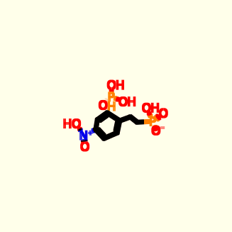 O=[N+](O)c1ccc(CCP(=O)([O-])O)cc1.O=[PH](O)O